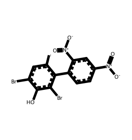 [CH]c1cc(Br)c(O)c(Br)c1-c1ccc([N+](=O)[O-])cc1[N+](=O)[O-]